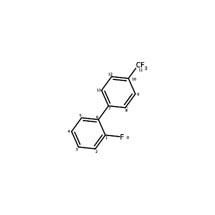 Fc1ccccc1-c1[c]cc(C(F)(F)F)cc1